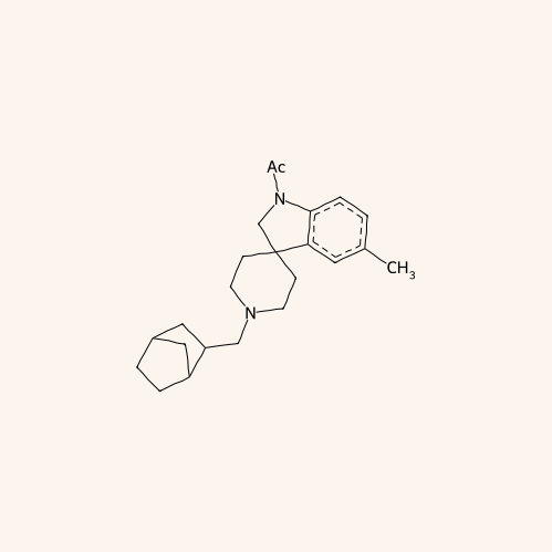 CC(=O)N1CC2(CCN(CC3CC4CCC3C4)CC2)c2cc(C)ccc21